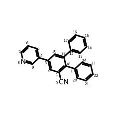 N#Cc1cc(-c2cccnc2)cc(-c2ccccc2)c1-c1ccccc1